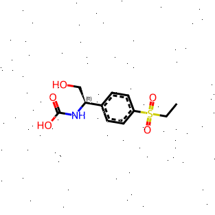 CCS(=O)(=O)c1ccc([C@H](CO)NC(=O)O)cc1